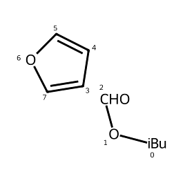 CCC(C)OC=O.c1ccoc1